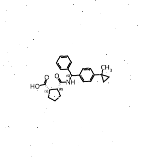 CC1(c2ccc([C@@H](NC(=O)[C@@H]3CCC[C@@H]3C(=O)O)c3ccccc3)cc2)CC1